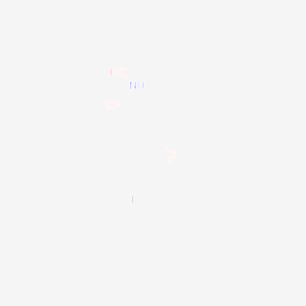 O=C(NO)c1ccc(Oc2ccc(C3(C(F)(F)F)CC3)cc2Cl)cc1